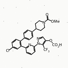 COC(=O)N1CCC(c2ccc(-c3ccc(Cl)cc3-c3cccc(-n4ncc(OC(=O)O)c4C(F)(F)F)n3)cc2)CC1